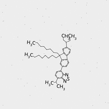 CCCCCCCCC1(CCCCCCCC)c2cc(-c3ccc(C(C)C)c4nsnc34)ccc2-c2ccc(C(CC)CC)cc21